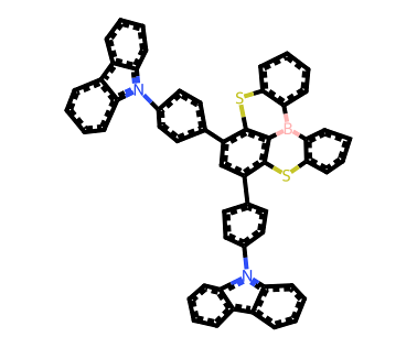 c1ccc2c(c1)Sc1c(-c3ccc(-n4c5ccccc5c5ccccc54)cc3)cc(-c3ccc(-n4c5ccccc5c5ccccc54)cc3)c3c1B2c1ccccc1S3